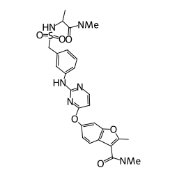 CNC(=O)c1c(C)oc2cc(Oc3ccnc(Nc4cccc(CS(=O)(=O)NC(C)C(=O)NC)c4)n3)ccc12